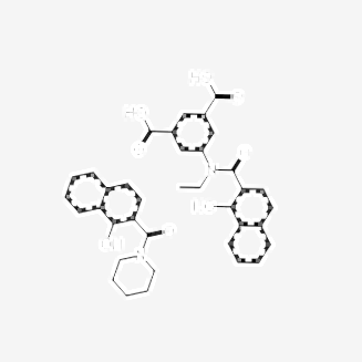 CCN(C(=O)c1ccc2ccccc2c1O)c1cc(C(=O)O)cc(C(=O)O)c1.O=C(c1ccc2ccccc2c1O)N1CCCCC1